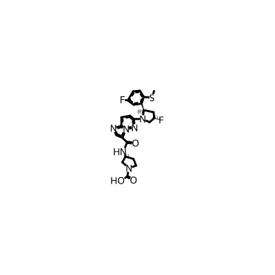 CSc1ccc(F)cc1[C@H]1C[C@H](F)CN1c1ccc2ncc(C(=O)N[C@H]3CCN(C(=O)O)C3)n2n1